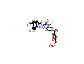 CN(C(=O)NCc1cc2cc(Cl)ccc2[nH]1)C1CCCN(C(=O)c2cc(CO)on2)C1